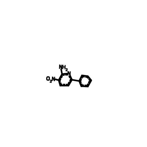 Nc1nc(-c2ccccc2)ccc1[N+](=O)[O-]